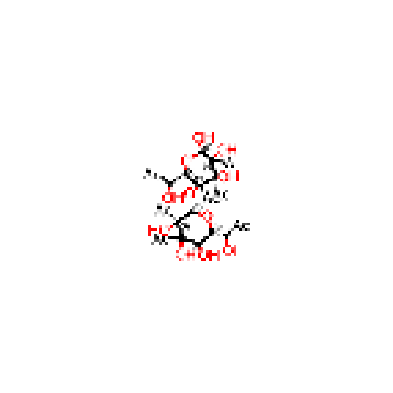 CC(=O)C(O)[C@H]1O[C@@H](O[C@]2(C(C)=O)[C@@H](C(O)C(C)=O)O[C@H](O)[C@@](O)(C(C)=O)[C@]2(O)C(C)=O)[C@@](O)(C(C)=O)[C@](O)(C(C)=O)[C@H]1O